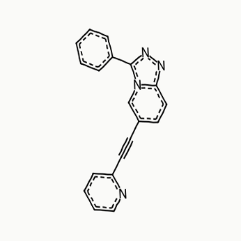 C(#Cc1ccccn1)c1ccc2nnc(-c3ccccc3)n2c1